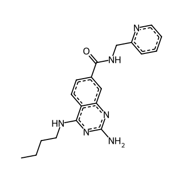 CCCCNc1nc(N)nc2cc(C(=O)NCc3ccccn3)ccc12